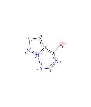 Oc1ncnn2nccc12